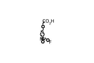 O=C(O)C=Cc1ccc(CCN2CCCN(c3nc4ccccc4n3Cc3ccc(F)cc3)CCC2)cc1